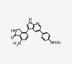 CC(=O)Nc1ccc(-c2cnc3[nH]cc(-c4ccc(N)c5c4CNC5=O)c3c2)cc1